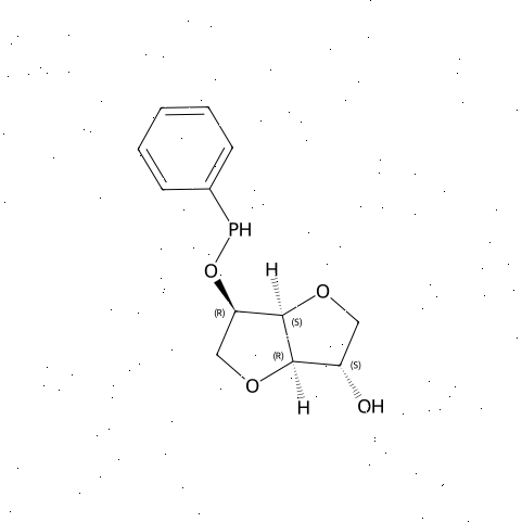 O[C@H]1CO[C@H]2[C@@H]1OC[C@H]2OPc1ccccc1